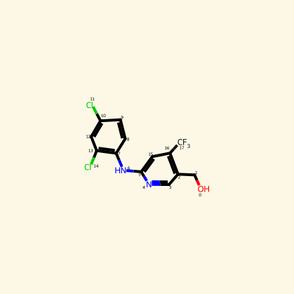 OCc1cnc(Nc2ccc(Cl)cc2Cl)cc1C(F)(F)F